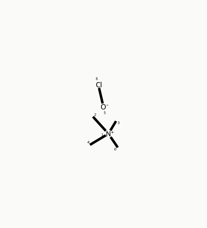 C[N+](C)(C)C.[O-]Cl